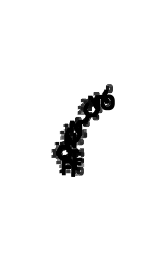 CC(=O)CN1CCC(CCN2CCN(c3cccc(C(F)(F)F)c3C)CC2)CC1